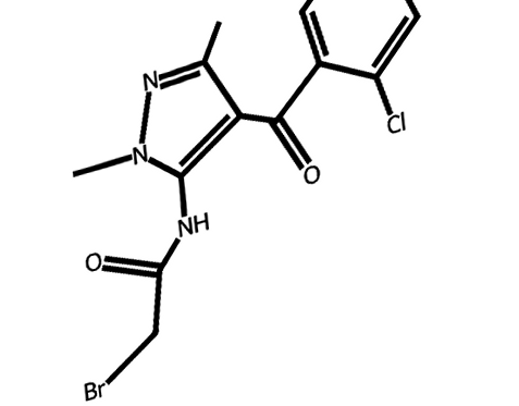 Cc1nn(C)c(NC(=O)CBr)c1C(=O)c1ccccc1Cl